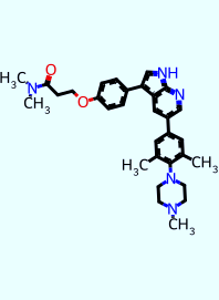 Cc1cc(-c2cnc3[nH]cc(-c4ccc(OCCC(=O)N(C)C)cc4)c3c2)cc(C)c1N1CCN(C)CC1